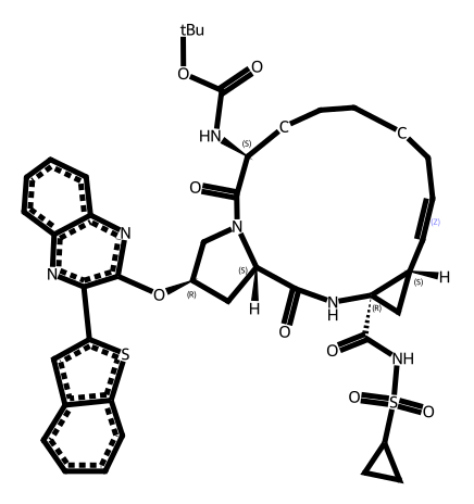 CC(C)(C)OC(=O)N[C@H]1CCCCC/C=C\[C@@H]2C[C@@]2(C(=O)NS(=O)(=O)C2CC2)NC(=O)[C@@H]2C[C@@H](Oc3nc4ccccc4nc3-c3cc4ccccc4s3)CN2C1=O